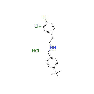 CC(C)(C)c1ccc(CNCCc2ccc(F)c(Cl)c2)cc1.Cl